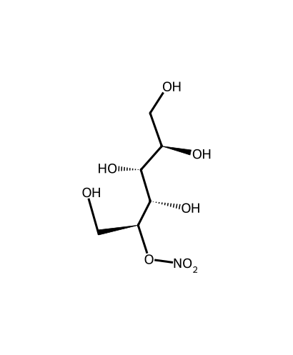 O=[N+]([O-])O[C@@H](CO)[C@@H](O)[C@H](O)[C@H](O)CO